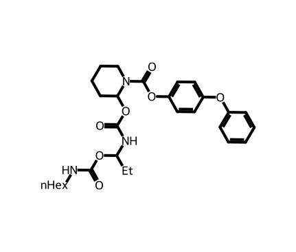 CCCCCCNC(=O)OC(CC)NC(=O)OC1CCCCN1C(=O)Oc1ccc(Oc2ccccc2)cc1